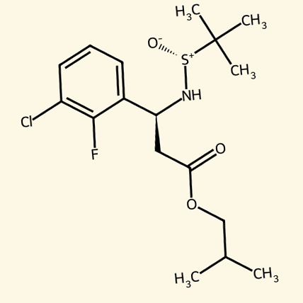 CC(C)COC(=O)C[C@H](N[S@+]([O-])C(C)(C)C)c1cccc(Cl)c1F